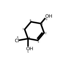 OC1C=CC(O)(Cl)CC1